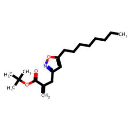 C=C(Cc1cc(CCCCCCCC)on1)C(=O)OC(C)(C)C